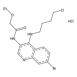 CCOCC(=O)Nc1cnc2cc(Br)ccc2c1NCCCCCl.Cl